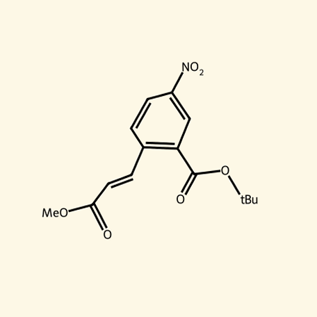 COC(=O)/C=C/c1ccc([N+](=O)[O-])cc1C(=O)OC(C)(C)C